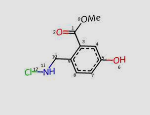 COC(=O)c1cc(O)ccc1CNCl